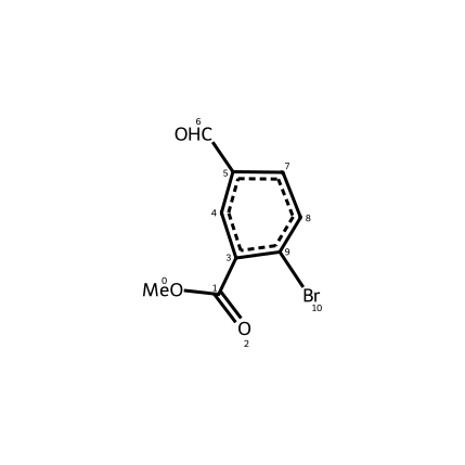 COC(=O)c1cc(C=O)ccc1Br